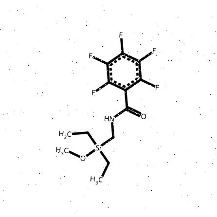 CC[Si](CC)(CNC(=O)c1c(F)c(F)c(F)c(F)c1F)OC